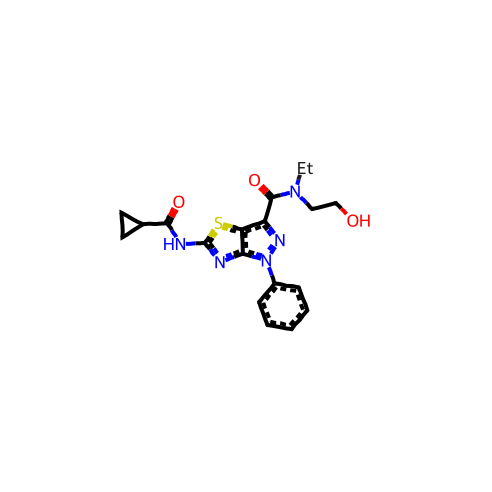 CCN(CCO)C(=O)c1nn(-c2ccccc2)c2nc(NC(=O)C3CC3)sc12